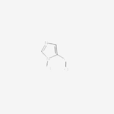 COc1[c]ncn1C